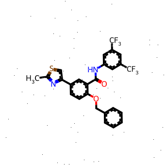 Cc1nc(-c2ccc(OCc3ccccc3)c(C(=O)Nc3cc(C(F)(F)F)cc(C(F)(F)F)c3)c2)cs1